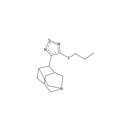 CCCSc1nsnc1C1C2CC3CC1CN(C3)C2